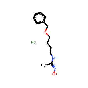 C/C(=N\O)NCCCCOCc1ccccc1.Cl